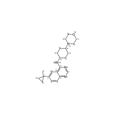 CC1(c2ccc3ncnc(NC4CCC(N5CCOCC5)CC4)c3c2)CC1